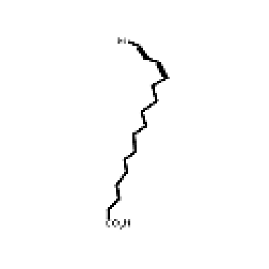 CC/C=C/C=C\CCCCCCCCCCCC(=O)O